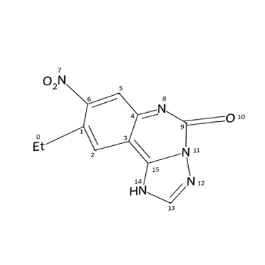 CCc1cc2c(cc1[N+](=O)[O-])nc(=O)n1nc[nH]c21